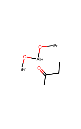 CC(C)[O][AlH][O]C(C)C.CCC(C)=O